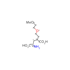 COCCOCCC(C[C@H](N)C(=O)O)C(=O)O